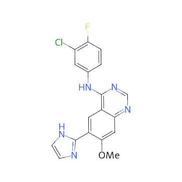 COc1cc2ncnc(Nc3ccc(F)c(Cl)c3)c2cc1-c1ncc[nH]1